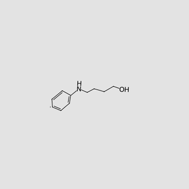 OCCCCNc1cc[c]cc1